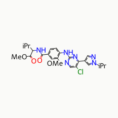 COC(=O)C(NC(=O)c1ccc(Nc2ncc(Cl)c(-c3cnn(C(C)C)c3)n2)c(OC)c1)C(C)C